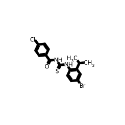 CC(C)c1cc(Br)ccc1NC(=S)NC(=O)c1ccc(Cl)cc1